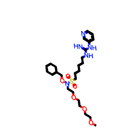 COCCOCCOCCN(OCC1CCCCC1)S(=O)(=O)CCCCCCNC(=N)Nc1cccnc1